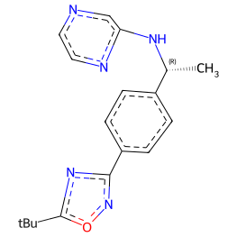 C[C@@H](Nc1cnccn1)c1ccc(-c2noc(C(C)(C)C)n2)cc1